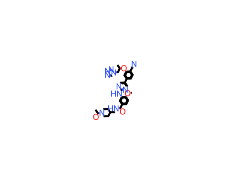 COc1ccc(C(=O)NCC2CCN(C(C)=O)CC2)cc1Nc1ncc(-c2ccc(C#N)c(OC(C)Cn3cnnn3)c2)cn1